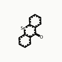 O=c1c2ccccc2[se]c2ccccc12